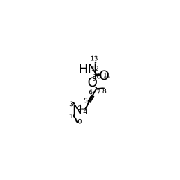 CCN(C)CC#CC(C)OC(=O)NC